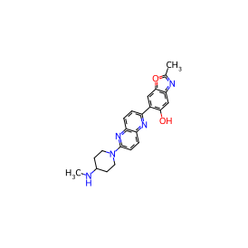 CNC1CCN(c2ccc3nc(-c4cc5oc(C)nc5cc4O)ccc3n2)CC1